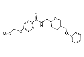 COCOc1ccc(C(=O)NCC2CCC(COc3ccccc3)CO2)cc1